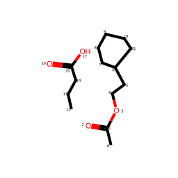 CC(=O)OCCC1CCCCC1.CCCC(=O)O